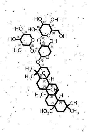 CC1(C)CC[C@]2(C(=O)O)CC[C@]3(C)C(=CC[C@@H]4[C@@]5(C)CC[C@H](O[C@@H]6OC[C@H](O)[C@H](O[C@H]7O[C@H](CO)[C@@H](O)[C@H](O)[C@H]7O)[C@H]6O[C@@H]6OC[C@@H](O)[C@H](O)[C@H]6O)C(C)(C)C5CC[C@]43C)[C@H]2C1